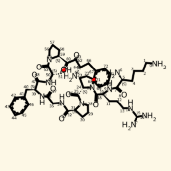 NCCCC[C@H](N)C(=O)N[C@@H](CCCNC(N)N)C(=O)N1CCC[C@H]1C(=O)N1CCC[C@H]1C(=O)NCC(=O)N[C@@H](Cc1ccccc1)C(=O)N[C@@H](CO)C(=O)N1CCC[C@H]1C(=O)C(=O)[C@@H](N)Cc1ccccc1